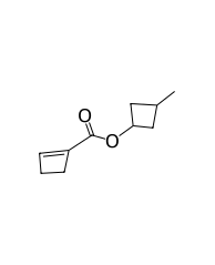 CC1CC(OC(=O)C2=CCC2)C1